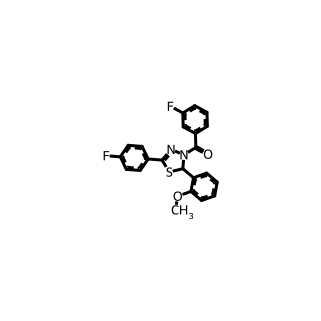 COc1ccccc1C1SC(c2ccc(F)cc2)=NN1C(=O)c1cccc(F)c1